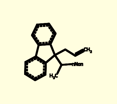 C=CCC1(C(C)CCCCCCCCC)c2ccccc2-c2ccccc21